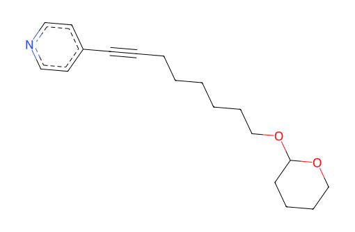 C(#Cc1ccncc1)CCCCCCOC1CCCCO1